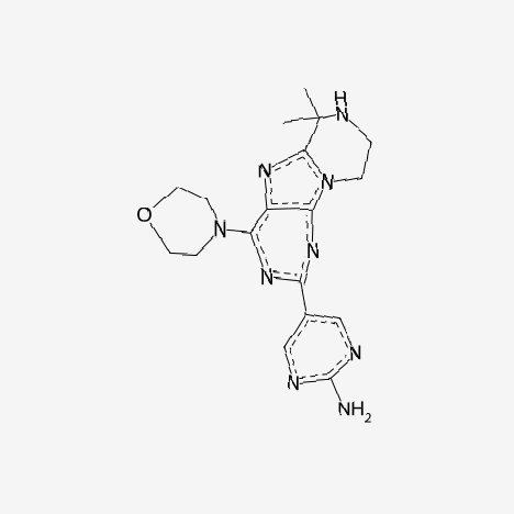 CC1(C)NCCn2c1nc1c(N3CCOCC3)nc(-c3cnc(N)nc3)nc12